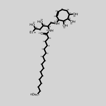 CCCCCCCCCCCCCCCCCCCCCCCCCC(=O)NC(CNC1/C=C\CCC(O)C(O)C1O)C(O)CC(O)CC